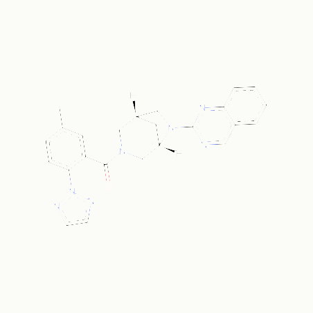 Cc1ccc(-n2nccn2)c(C(=O)N2C[C@H]3C[C@@H](C2)N(c2ncc4ccccc4n2)C3)c1